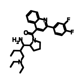 CCC(CN(CC)CC)C(N)C1CCCN1C(=O)c1cc(-c2ccc(F)c(F)c2)nc2ccccc12